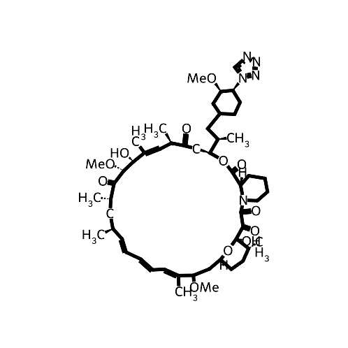 COC1C[C@@H]2CC[C@@H](C)[C@@](O)(O2)C(=O)C(=O)N2CCCC[C@H]2C(=O)O[C@H]([C@H](C)CC2CC[C@H](n3cnnn3)[C@H](OC)C2)CC(=O)[C@H](C)/C=C(\C)[C@@H](O)[C@@H](OC)C(=O)[C@@H](C)C[C@H](C)/C=C/C=C/C=C/1C